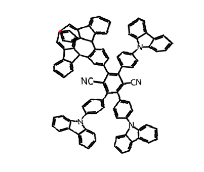 N#Cc1c(-c2ccc(-n3c4ccccc4c4ccccc43)cc2)c(-c2ccc(-n3c4ccccc4c4ccccc43)cc2)c(C#N)c(-c2ccc(C3c4ccccc4-c4ccccc43)c(C3c4ccccc4-c4ccccc43)c2)c1-c1ccc(-n2c3ccccc3c3ccccc32)cc1